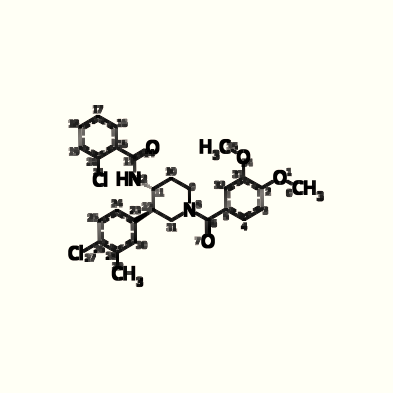 COc1ccc(C(=O)N2CC[C@@H](NC(=O)c3ccccc3Cl)[C@H](c3ccc(Cl)c(C)c3)C2)cc1OC